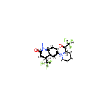 O=C([C@H]1CCCCN1c1ccc2[nH]c(=O)cc(C(F)(F)F)c2c1)C(F)(F)F